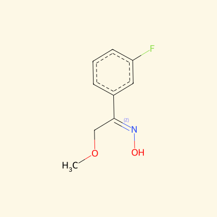 COC/C(=N\O)c1cccc(F)c1